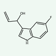 C=CC(O)c1c[nH]c2ccc(F)cc12